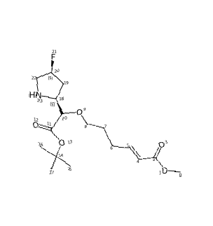 COC(=O)C=CCCCOC(C(=O)OC(C)(C)C)[C@@H]1C[C@H](F)CN1